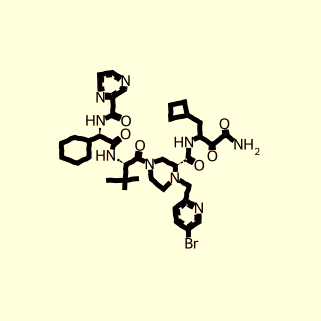 CC(C)(C)[C@H](NC(=O)[C@@H](NC(=O)c1cnccn1)C1CCCCC1)C(=O)N1CCN(Cc2ccc(Br)cn2)[C@@H](C(=O)NC(CC2CCC2)C(=O)C(N)=O)C1